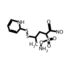 CC(CC(C(=O)N=O)S(=O)(=O)ON)SSC1C=CC=CN1